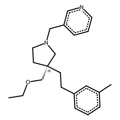 CCOC[C@]1(CCc2cccc(C)c2)CCN(Cc2cccnc2)C1